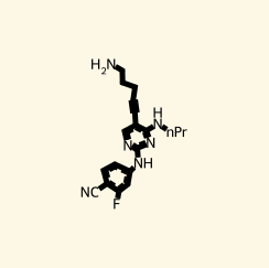 CCCNc1nc(Nc2ccc(C#N)c(F)c2)ncc1C#CCCCN